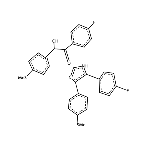 CSc1ccc(-c2nc[nH]c2-c2ccc(F)cc2)cc1.CSc1ccc(C(O)C(=O)c2ccc(F)cc2)cc1